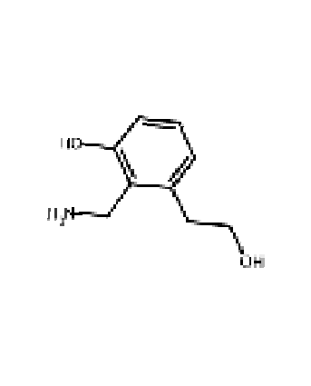 NCc1c(O)cccc1CCO